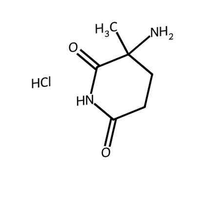 CC1(N)CCC(=O)NC1=O.Cl